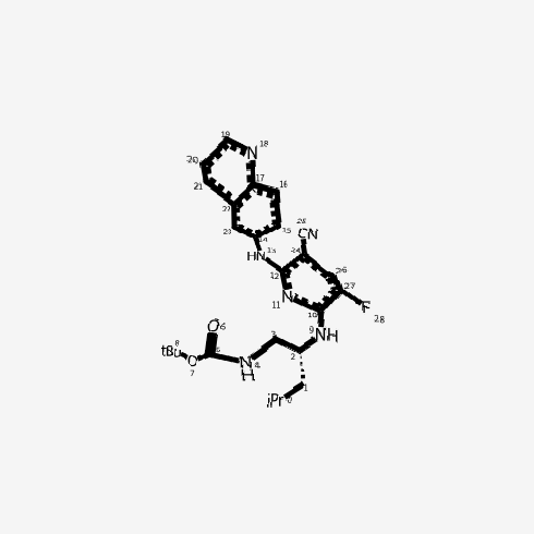 CC(C)C[C@H](CNC(=O)OC(C)(C)C)Nc1nc(Nc2ccc3ncccc3c2)c(C#N)cc1F